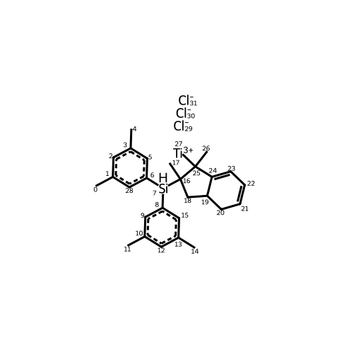 Cc1cc(C)cc([SiH](c2cc(C)cc(C)c2)C2(C)CC3CC=CC=C3[C]2(C)[Ti+3])c1.[Cl-].[Cl-].[Cl-]